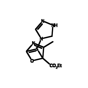 CCOC(=O)C12OC(=S1N1C=NNC1)N=C2C